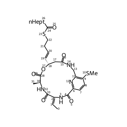 C/C=C1\NC(=O)c2ccc(SC)c(n2)CNC(=O)C[C@@H](/C=C/CCSC(=O)CCCCCCC)OC(=O)[C@H](C)NC1=O